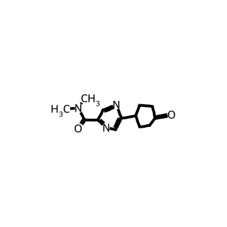 CN(C)C(=O)c1cnc(C2CCC(=O)CC2)cn1